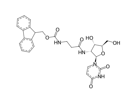 O=C(CCNC(=O)OCC1c2ccccc2-c2ccccc21)N[C@@H]1[C@H](O)[C@@H](CO)O[C@H]1n1ccc(=O)[nH]c1=O